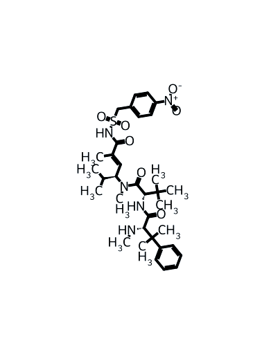 CN[C@H](C(=O)N[C@H](C(=O)N(C)[C@H](/C=C(\C)C(=O)NS(=O)(=O)Cc1ccc([N+](=O)[O-])cc1)C(C)C)C(C)(C)C)C(C)(C)c1ccccc1